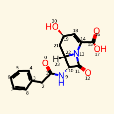 O=C(Cc1ccccc1)N[C@H]1C(=O)N2C(C(=O)O)=C[C@H](O)C[C@@H]12